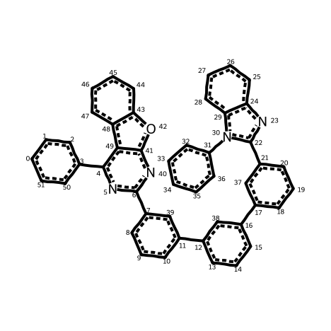 c1ccc(-c2nc(-c3cccc(-c4cccc(-c5cccc(-c6nc7ccccc7n6-c6ccccc6)c5)c4)c3)nc3oc4ccccc4c23)cc1